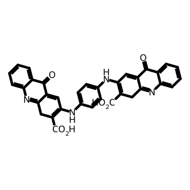 O=C(O)C1=C(Nc2ccc(NC3=C(C(=O)O)CC4=Nc5ccccc5C(=O)C4=C3)cc2)C=C2C(=O)c3ccccc3N=C2C1